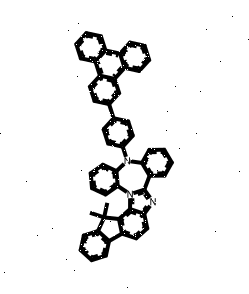 CC1(C)c2ccccc2-c2ccc3nc4n(c3c21)-c1ccccc1N(c1ccc(-c2ccc3c5ccccc5c5ccccc5c3c2)cc1)c1ccccc1-4